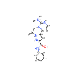 C=C(C)n1nc(C(=O)Nc2ccccc2)cc1-c1ccnc(N(C)C)n1